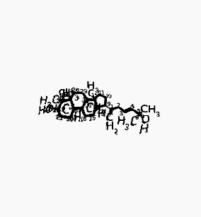 C=C(C/C=C/C(C)(C)O)[C@@H]1CC[C@]2(C)[C@@H]1CC[C@@H]1[C@@]3(C)CC[C@H](O)C(C)(C)[C@@H]3CC[C@]12C